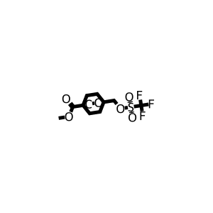 COC(=O)C12CCC(COS(=O)(=O)C(F)(F)F)(CC1)CC2